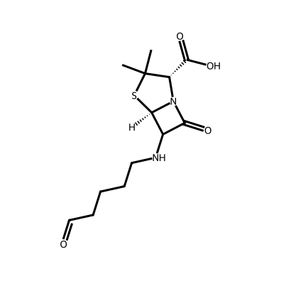 CC1(C)S[C@@H]2C(NCCCCC=O)C(=O)N2[C@H]1C(=O)O